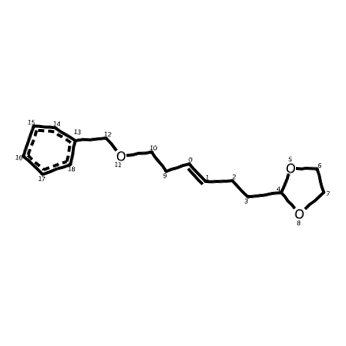 C(=C\CCC1OCCO1)/CCOCc1ccccc1